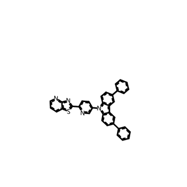 c1ccc(-c2ccc3c(c2)c2cc(-c4ccccc4)ccc2n3-c2ccc(-c3nc4ncccc4s3)nc2)cc1